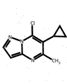 Cc1nc2ccnn2c(Cl)c1C1CC1